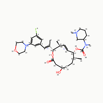 C/C(=C\c1cc(F)cc(N2CCOCC2)c1)[C@H]1OC(=O)C[C@H](O)CC[C@H](C)[C@@H](OC(=O)N(C)C2CCCN(C)C2)/C=C/[C@@H]1C